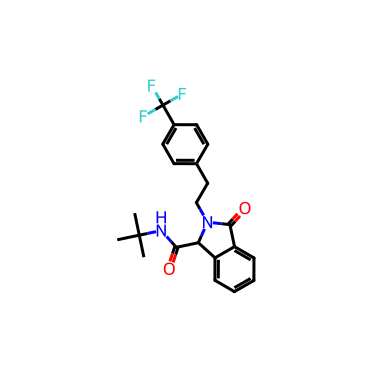 CC(C)(C)NC(=O)C1c2ccccc2C(=O)N1CCc1ccc(C(F)(F)F)cc1